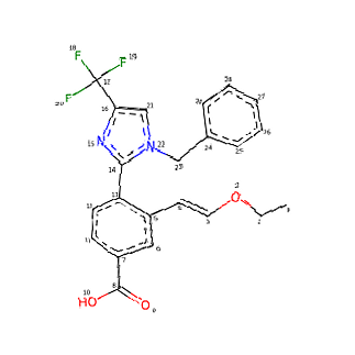 CCOC=Cc1cc(C(=O)O)ccc1-c1nc(C(F)(F)F)cn1Cc1ccccc1